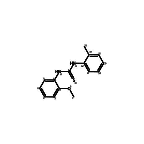 COc1ccccc1NC(=S)Nc1ccccc1C